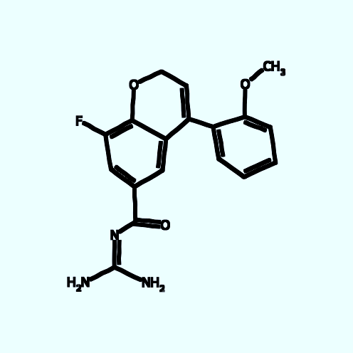 COc1ccccc1C1=CCOc2c(F)cc(C(=O)N=C(N)N)cc21